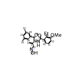 C=C(/C=N/O)N(NC(=O)c1cccc(OC)c1CC)C(=O)c1cc(C)cc(C)c1